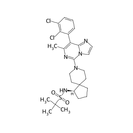 Cc1nc(N2CCC3(CCC[C@H]3NS(=O)(=O)C(C)(C)C)CC2)n2ccnc2c1-c1cccc(Cl)c1Cl